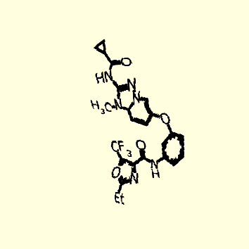 CCc1nc(C(=O)Nc2cccc(OC3=CN4N=C(NC(=O)C5CC5)N(C)C4C=C3)c2)c(C(F)(F)F)o1